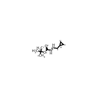 CC(C)(C)OC(=O)NNCC1CC1